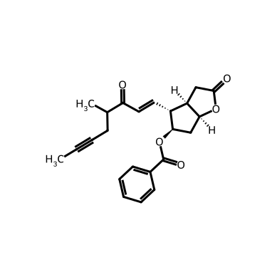 CC#CCC(C)C(=O)/C=C/[C@@H]1[C@H]2CC(=O)O[C@H]2C[C@H]1OC(=O)c1ccccc1